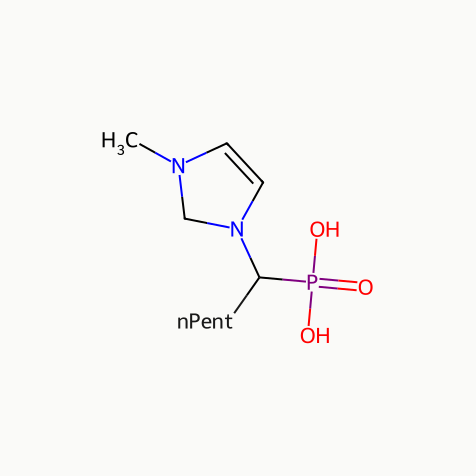 CCCCCC(N1C=CN(C)C1)P(=O)(O)O